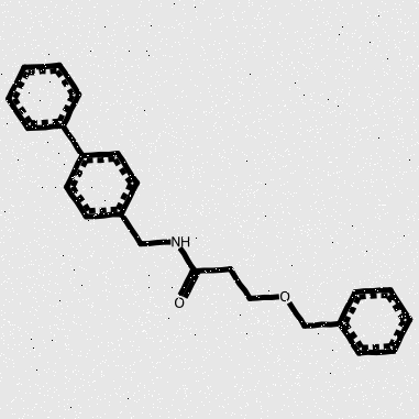 O=C(CCOCc1ccccc1)NCc1ccc(-c2ccccc2)cc1